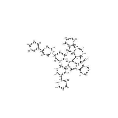 O=P1(c2ccccc2)c2ccccc2-c2c1ccc1c3ccccc3n(-c3cc(-c4ccc(-c5ccccc5)cc4)cc(-c4ccc(-c5ccccc5)cc4)c3)c21